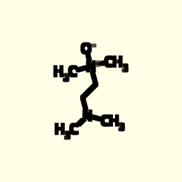 CN(C)CC[N+](C)(C)[O-]